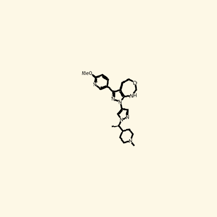 COc1ccc(-c2nn(-c3cnn([C@H](C)C4CCN(C)CC4)c3)c3c2CCOCN3)cn1